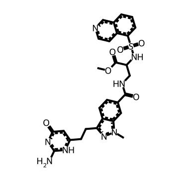 COC(=O)C(CNC(=O)c1ccc2c(CCc3cc(=O)nc(N)[nH]3)nn(C)c2c1)NS(=O)(=O)c1cccc2cnccc12